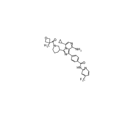 CC1(C(=O)N2CCCC(c3nc(-c4ccc(C(=O)Nc5cc(C(F)(F)F)ccn5)cc4)c4c(N)ncc(C5CC5)n34)C2)COC1